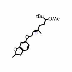 COC(CC/C(C)=C/COc1ccc2c(c1)OC(C)C2)C(C)(C)C